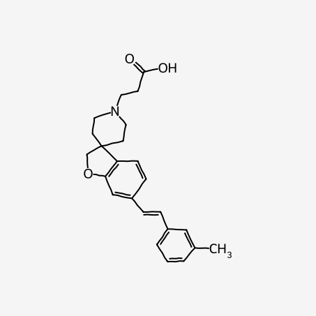 Cc1cccc(/C=C/c2ccc3c(c2)OCC32CCN(CCC(=O)O)CC2)c1